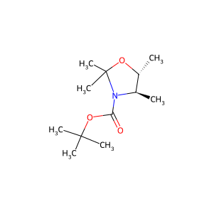 C[C@@H]1[C@@H](C)OC(C)(C)N1C(=O)OC(C)(C)C